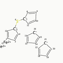 [Fe+2].[Fe+2].c1cc[c-](S[c-]2cccc2)c1.c1cc[cH-]c1.c1cc[cH-]c1